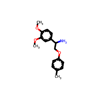 COc1ccc(C(N)COc2ccc(C)cc2)cc1OC